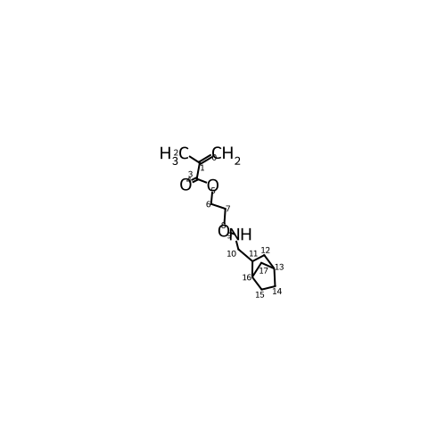 C=C(C)C(=O)OCCONCC1CC2CCC1C2